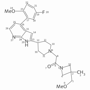 COCC1(C)CN(C(=O)CN2CCC(c3cc4c(-c5cc(F)ccc5OC)ccnc4[nH]3)CC2)C1